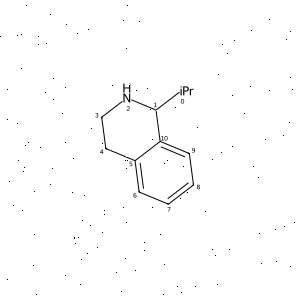 CC(C)C1NCCc2ccccc21